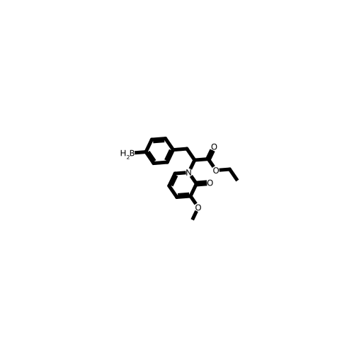 Bc1ccc(CC(C(=O)OCC)n2cccc(OC)c2=O)cc1